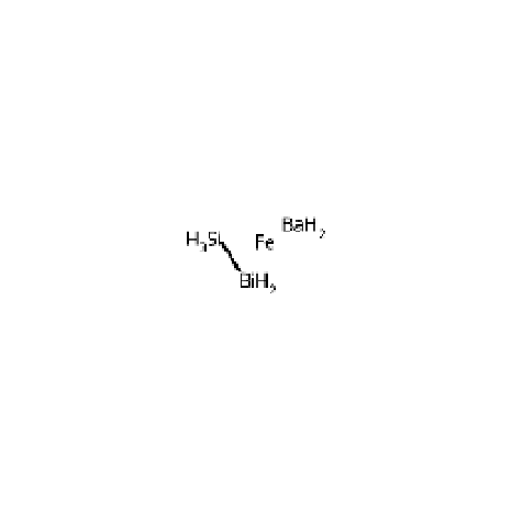 [BaH2].[Fe].[SiH3][BiH2]